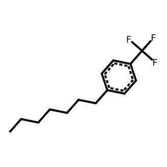 CCCCCCCc1ccc(C(F)(F)F)cc1